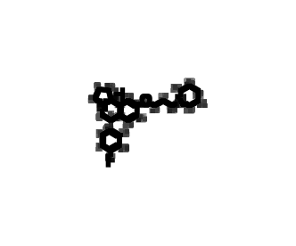 Fc1ccc([C@@H]2CN3CCC[C@H]3c3cc(OCCCN4CCCCC4)ccc32)cc1